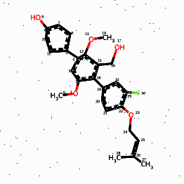 COc1cc(-c2ccc(O)cc2)c(OC)c(CO)c1-c1ccc(OCC=C(C)C)c(F)c1